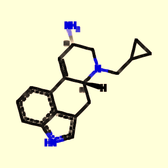 N[C@H]1C=C2c3cccc4[nH]cc(c34)C[C@H]2N(CC2CC2)C1